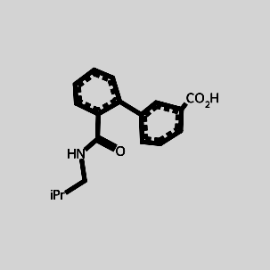 CC(C)CNC(=O)c1ccccc1-c1cccc(C(=O)O)c1